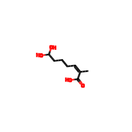 CC(=CCCCC(O)O)C(=O)O